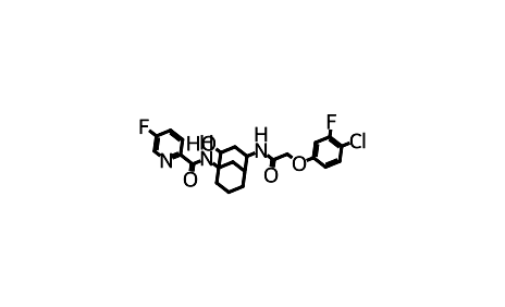 O=C(COc1ccc(Cl)c(F)c1)NC1CC(O)C2(NC(=O)c3ccc(F)cn3)CCCC1C2